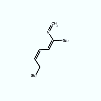 C=N/C(=C\C=C/CC(C)(C)C)C(C)(C)C